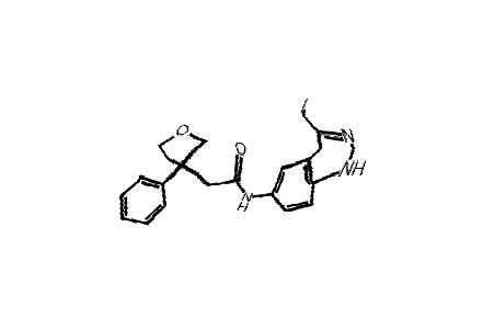 O=C(CC1(c2ccccc2)COC1)Nc1ccc2[nH]nc(I)c2c1